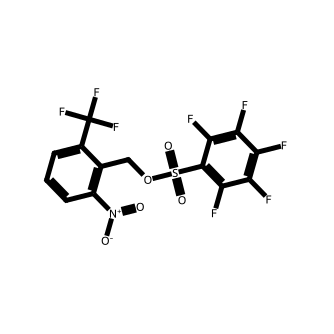 O=[N+]([O-])c1cccc(C(F)(F)F)c1COS(=O)(=O)c1c(F)c(F)c(F)c(F)c1F